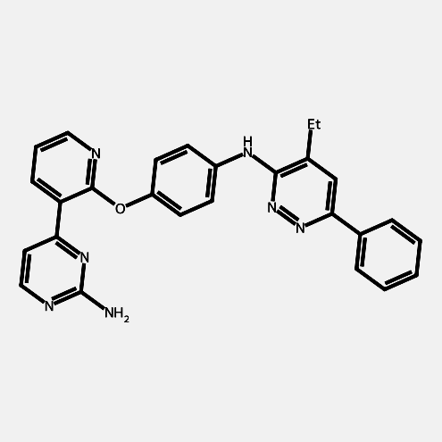 CCc1cc(-c2ccccc2)nnc1Nc1ccc(Oc2ncccc2-c2ccnc(N)n2)cc1